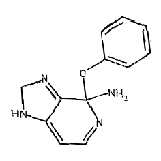 NC1(Oc2ccccc2)N=CC=C2NCN=C21